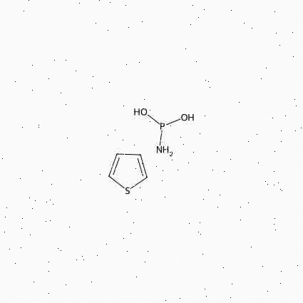 NP(O)O.c1ccsc1